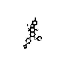 Cc1ccc2c3c([nH]c2c1)C(C)(C)C1=C(CC(OC2CCOC2)C(N2CCN(C4CCC4)CC2)=C1)C3=O